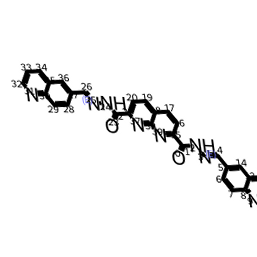 O=C(N/N=C/c1ccc2ncccc2c1)c1ccc2ccc(C(=O)N/N=C/c3ccc4ncccc4c3)nc2n1